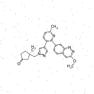 COc1cc2ccc(-c3nc(C)ccc3-c3cnn(C[C@]4(C)CCC(=O)C4)c3)cc2nn1